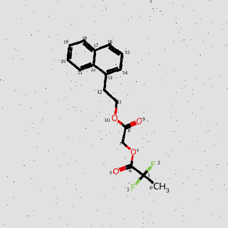 CC(F)(F)C(=O)OCC(=O)OCCc1cccc2ccccc12